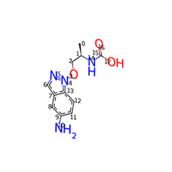 C[C@H](COn1ncc2cc(N)ccc21)NC(=O)O